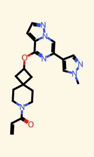 C=CC(=O)N1CCC2(CC1)CC(Oc1nc(-c3cnn(C)c3)cn3nccc13)C2